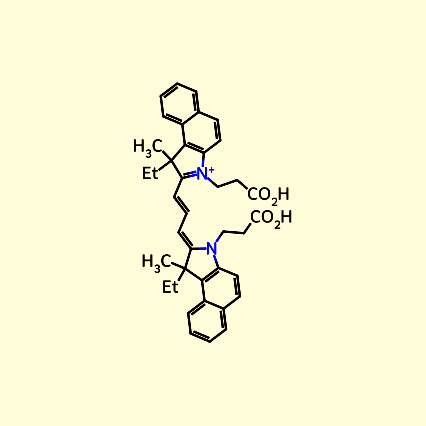 CCC1(C)C(/C=C/C=C2\N(CCC(=O)O)c3ccc4ccccc4c3C2(C)CC)=[N+](CCC(=O)O)c2ccc3ccccc3c21